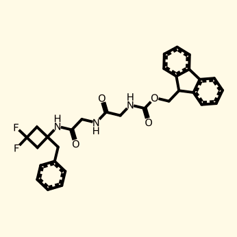 O=C(CNC(=O)OCC1c2ccccc2-c2ccccc21)NCC(=O)NC1(Cc2ccccc2)CC(F)(F)C1